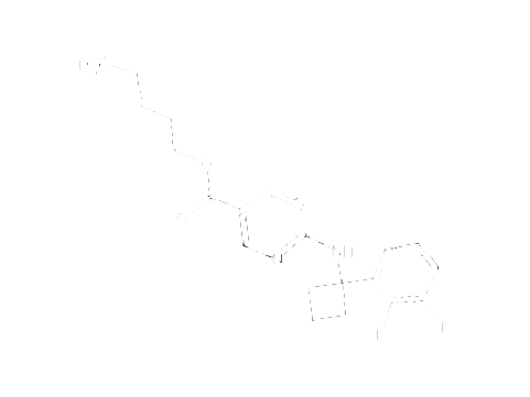 CCCCCOC(=O)c1cnc(NC2(c3cccc(F)c3F)CCC2)nc1